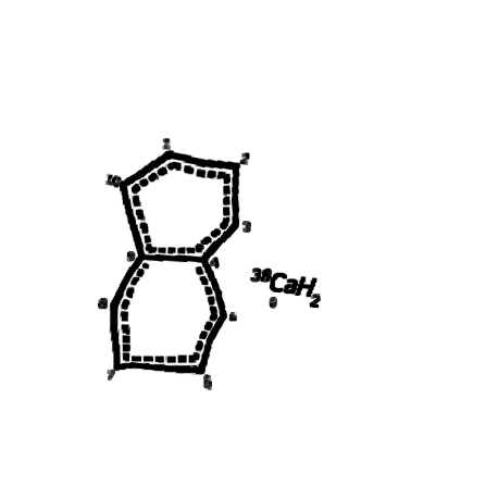 [38CaH2].c1ccc2ccccc2c1